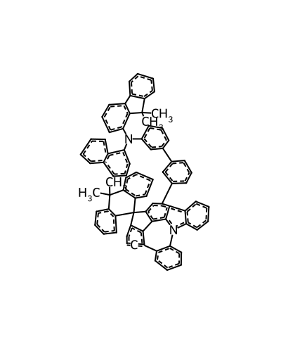 CC1(C)c2ccccc2C2(c3ccccc31)c1cccc3c1-c1c2cc(-c2cccc(-c4cccc(N(c5cccc6c5C(C)(C)c5ccccc5-6)c5cccc6ccccc56)c4)c2)c2c4ccccc4n(c12)-c1ccccc1-3